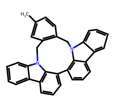 Cc1ccc2c(c1)Cn1c3ccccc3c3cccc(c31)-c1cccc3c4ccccc4n(c13)C2